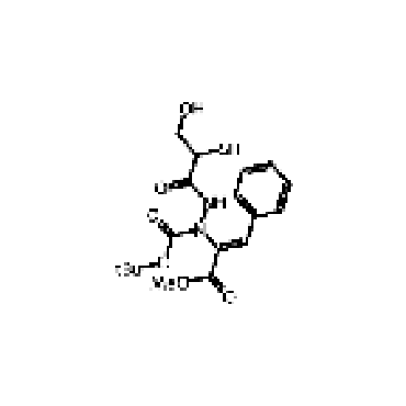 COC(=O)C(=Cc1ccccc1)N(NC(=O)C(S)CO)C(=O)OC(C)(C)C